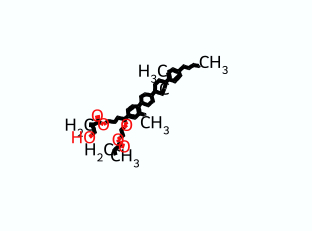 C=C(C)C(=O)OCCOC(CCCOC(=O)C(=C)CO)c1ccc(C2CCC(C3CCC(c4ccc(CCCCC)cc4C)CC3)CC2)c(CC)c1